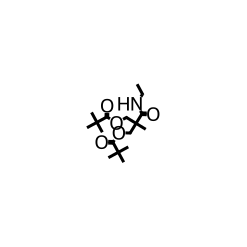 CCNC(=O)C(C)(COC(=O)C(C)(C)C)COC(=O)C(C)(C)C